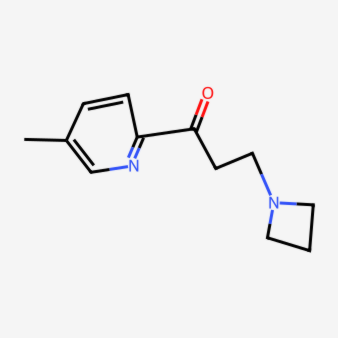 Cc1ccc(C(=O)CCN2CCC2)nc1